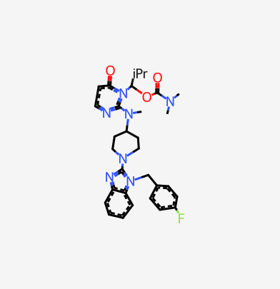 CC(C)C(OC(=O)N(C)C)n1c(N(C)C2CCN(c3nc4ccccc4n3Cc3ccc(F)cc3)CC2)nccc1=O